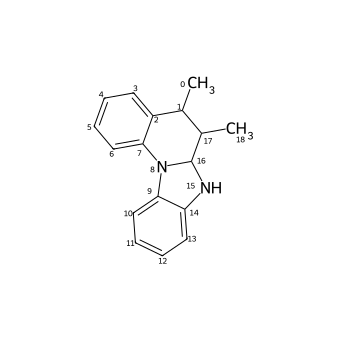 CC1c2ccccc2N2c3ccccc3NC2C1C